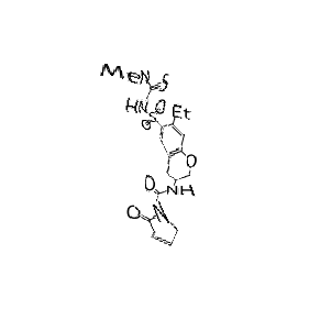 CCc1cc2c(cc1S(=O)(=O)NC(=S)NC)CC(NC(=O)N1CC=CC1=O)CO2